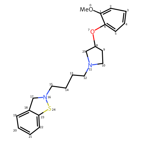 COc1ccccc1OC1CCN(CCCCN2Cc3ccccc3S2)C1